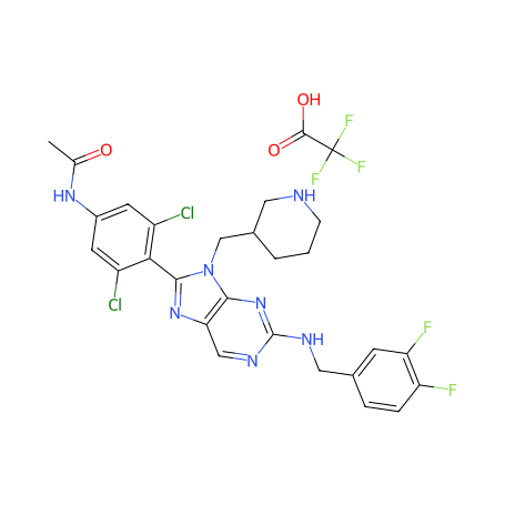 CC(=O)Nc1cc(Cl)c(-c2nc3cnc(NCc4ccc(F)c(F)c4)nc3n2CC2CCCNC2)c(Cl)c1.O=C(O)C(F)(F)F